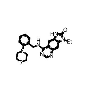 CCn1c(=O)[nH]c2cc3c(NCc4ccccc4N4CCSCC4)ncnc3cc21